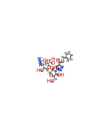 [N-]=[N+]=NC1C(O)[C@@H](CO)O[C@@H](S[C@@H]2OC(CO)[C@H](O)C(n3cc(C(=O)OCc4ccccc4)nn3)C2O)[C@@H]1O